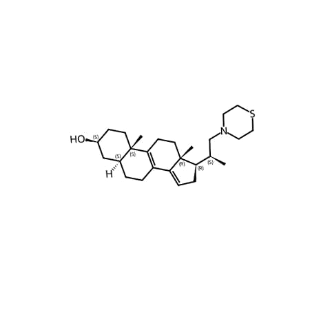 C[C@H](CN1CCSCC1)[C@H]1CC=C2C3=C(CC[C@@]21C)[C@@]1(C)CC[C@H](O)C[C@@H]1CC3